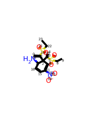 C=C(C1(C(=C)S(=O)(=O)CC)C=C([N+](=O)[O-])C=CC1N)S(=O)(=O)CC